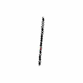 S=S=S=S=S=S=S=S=S=S=S=S=S=S=S=S=S=S=S=S=S=S=S=S=S=S=S=S=S=S=S=S=S=S=S=S=S=S=S=S=S